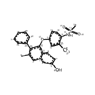 Cc1cc2cc(O)ccc2c(Oc2ccc(NS(C)(=O)=O)c(C(F)(F)F)c2)c1-c1ccccc1